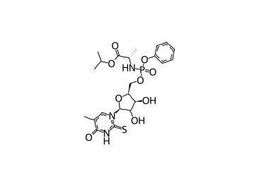 Cc1cn([C@H]2O[C@@H](COP(=O)(N[C@@H](C)C(=O)OC(C)C)Oc3ccccc3)[C@@H](O)C2O)c(=S)[nH]c1=O